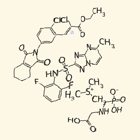 CCOC(=O)/C(Cl)=C/c1cc(N2C(=O)C3=C(CCCC3)C2=O)ccc1Cl.C[S+](C)C.Cc1ccn2nc(S(=O)(=O)Nc3c(F)cccc3F)nc2n1.O=C(O)CNCP(=O)([O-])O